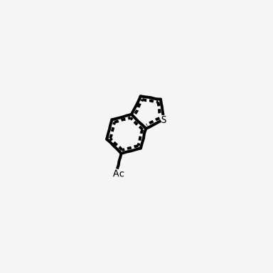 CC(=O)c1ccc2ccsc2c1